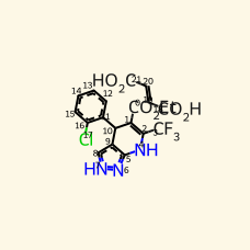 CCOC(=O)C1=C(C(F)(F)F)Nc2n[nH]cc2C1c1ccccc1Cl.O=C(O)C=CC(=O)O